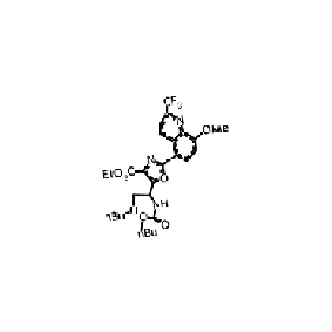 CCCCOCC(NC(=O)OCCCC)c1oc(-c2ccc(OC)c3nc(C(F)(F)F)ccc23)nc1C(=O)OCC